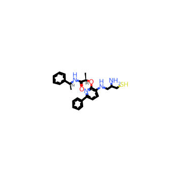 C[C@H](NC(=O)[C@@H](C)Oc1nc(-c2ccccc2)ccc1NCC(N)CS)c1ccccc1